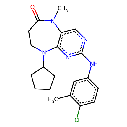 Cc1cc(Nc2ncc3c(n2)N(C2CCCC2)CCC(=O)N3C)ccc1Cl